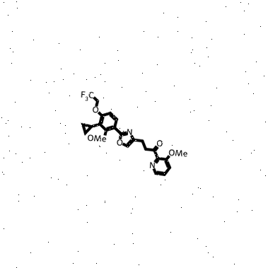 COc1cccnc1C(=O)CCc1coc(-c2ccc(OCC(F)(F)F)c(C3CC3)c2OC)n1